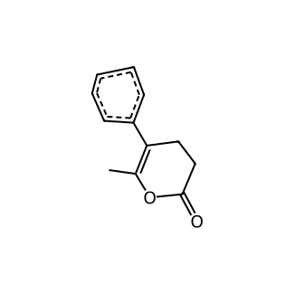 CC1=C(c2ccccc2)CCC(=O)O1